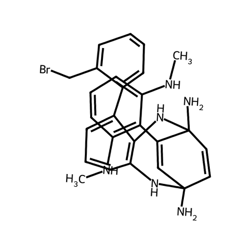 CNc1cccc(NC)c1C1=CC2(N)C=CC1(N)Nc1c(cccc1-c1ccccc1CBr)N2